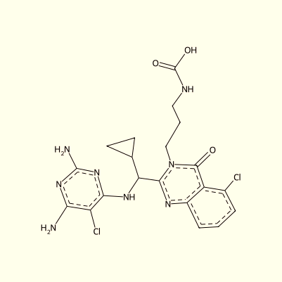 Nc1nc(N)c(Cl)c(NC(c2nc3cccc(Cl)c3c(=O)n2CCCNC(=O)O)C2CC2)n1